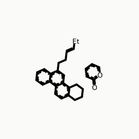 CCC=CCCc1cc2c3c(ccc2c2ccccc12)CCCC3.O=c1cccco1